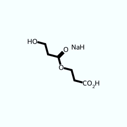 O=C(O)CCOC(=O)CCO.[NaH]